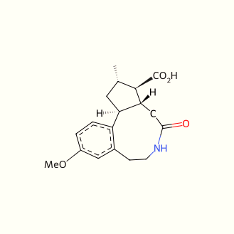 COc1ccc2c(c1)CCNC(=O)C[C@H]1[C@H](C(=O)O)[C@@H](C)C[C@H]21